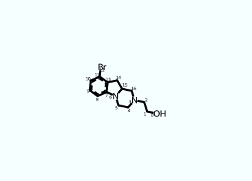 OCCN1CCN2c3cccc(Br)c3CC2C1